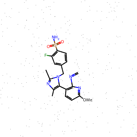 C=Nc1nc(OC)ccc1-c1c(C)nc(C)n1Cc1ccc(S(N)(=O)=O)c(F)c1